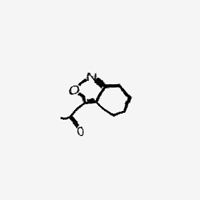 CC(=O)c1onc2c1CCCC2